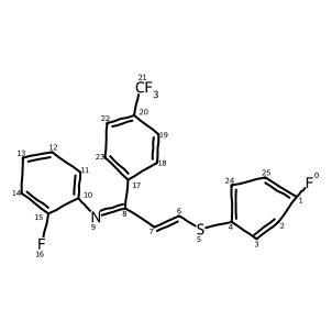 Fc1ccc(S/C=C/C(=N/c2ccccc2F)c2ccc(C(F)(F)F)cc2)cc1